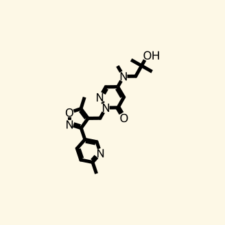 Cc1ccc(-c2noc(C)c2Cn2ncc(N(C)CC(C)(C)O)cc2=O)cn1